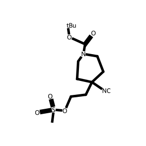 [C-]#[N+]C1(CCOS(C)(=O)=O)CCN(C(=O)OC(C)(C)C)CC1